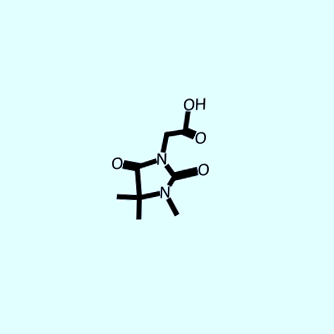 CN1C(=O)N(CC(=O)O)C(=O)C1(C)C